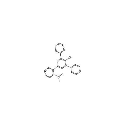 CN(C)c1ccccc1-c1cc(-c2ccccc2)c([O])c(-c2ccccc2)c1